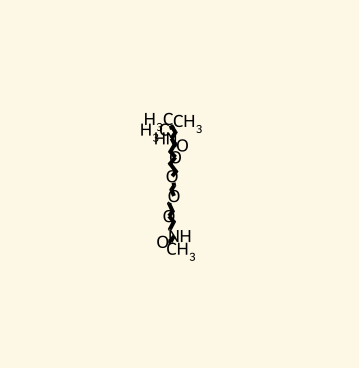 CC(=O)NCCOCCOCCOCCOCC(=O)NCC(C)(C)C